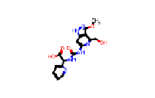 COc1n[nH]c2cc(NC(=O)N[C@H](C(=O)O)c3ccccn3)nc(CO)c12